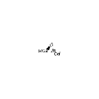 [Cd].[O]=[GaH].[Zn]